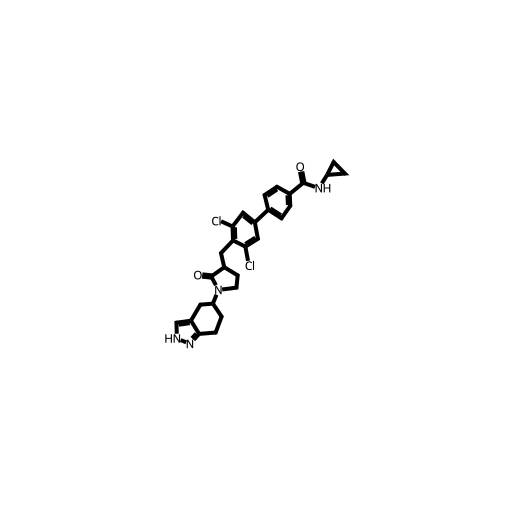 O=C(NC1CC1)c1ccc(-c2cc(Cl)c(CC3CCN(C4CCc5n[nH]cc5C4)C3=O)c(Cl)c2)cc1